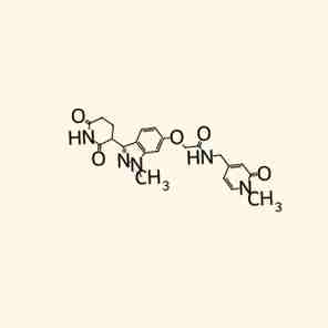 Cn1ccc(CNC(=O)COc2ccc3c(C4CCC(=O)NC4=O)nn(C)c3c2)cc1=O